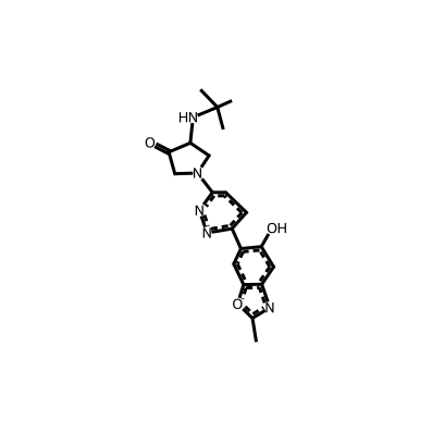 Cc1nc2cc(O)c(-c3ccc(N4CC(=O)C(NC(C)(C)C)C4)nn3)cc2o1